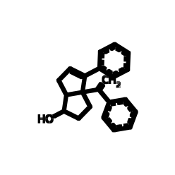 C=C(c1ccccc1)C12CCC(O)C1CC=C2c1ccccc1